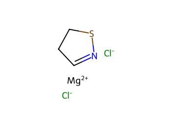 C1=NSCC1.[Cl-].[Cl-].[Mg+2]